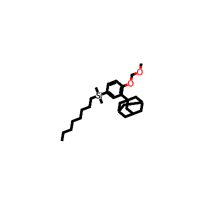 CCCCCCCC[Si](C)(C)c1ccc(OCOC)c(C23CC4CC(CC(C4)C2)C3)c1